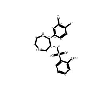 O=Cc1ccccc1S(=O)(=O)C[C@@H]1CNCCO[C@H]1c1ccc(I)c(Cl)c1